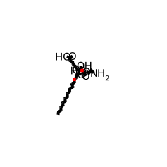 CCCCCCCCCCCCCCCCCCC(OP(=O)(O)OCCN)[C@H](CO)OCCCCC(=O)O